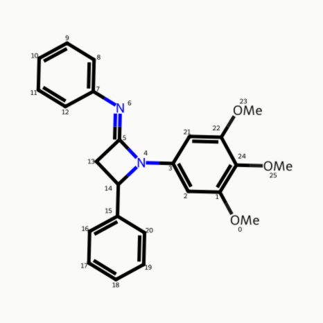 COc1cc(N2/C(=N/c3ccccc3)CC2c2ccccc2)cc(OC)c1OC